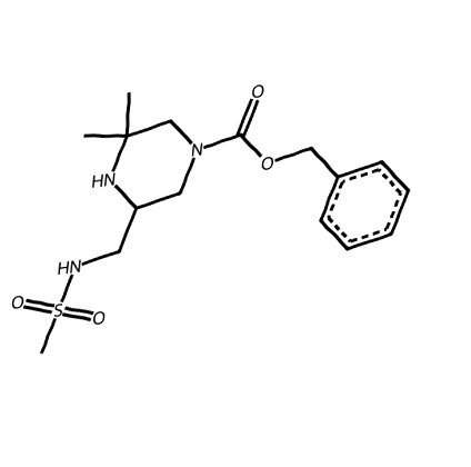 CC1(C)CN(C(=O)OCc2ccccc2)CC(CNS(C)(=O)=O)N1